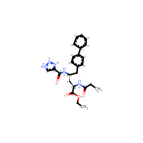 CCOC(=O)[C@@H](C[C@@H](Cc1ccc(-c2ccccc2)cc1)NC(=O)c1c[nH]nn1)NC(=O)CC